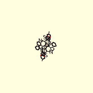 Cc1ccc2nc(/C(C#N)=c3/c4c(C5CCCC5)n(B(c5ccccc5)c5ccccc5)/c(=C(/C#N)c5nc6ccc(C)cc6s5)c4c(-c4ccccc4C)n3B(c3ccccc3)c3ccccc3)sc2c1